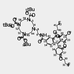 CC(C)(C)OC(=O)N1CCN(CCNC(=O)c2ccc(-c3c4ccc(=O)cc-4oc4cc(OCCF)ccc34)c(C(=O)OCCF)c2)CCN(C(=O)OC(C)(C)C)CCN(C(=O)OC(C)(C)C)CC1